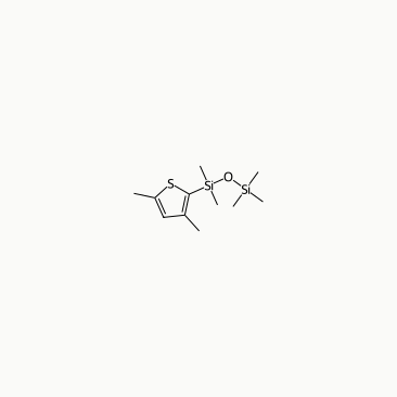 Cc1cc(C)c([Si](C)(C)O[Si](C)(C)C)s1